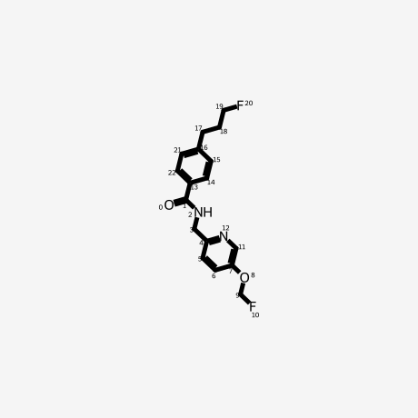 O=C(NCc1ccc(OCF)cn1)c1ccc(CCCF)cc1